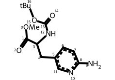 COC(=O)C(Cc1ccc(N)nc1)NC(=O)OC(C)(C)C